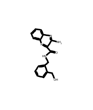 Nc1nc2ccccc2nc1C(=O)NCc1ccccc1CO